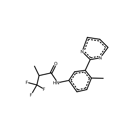 Cc1ccc(NC(=O)C(C)C(F)(F)F)cc1-c1ncccn1